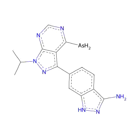 CC(C)n1nc(-c2ccc3c(N)n[nH]c3c2)c2c([AsH2])ncnc21